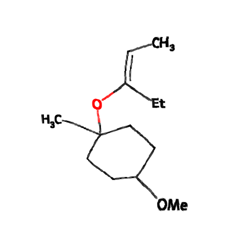 C/C=C(\CC)OC1(C)CCC(OC)CC1